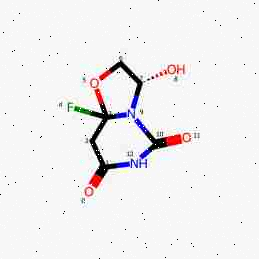 O=C1CC2(F)OC[C@H](O)N2C(=O)N1